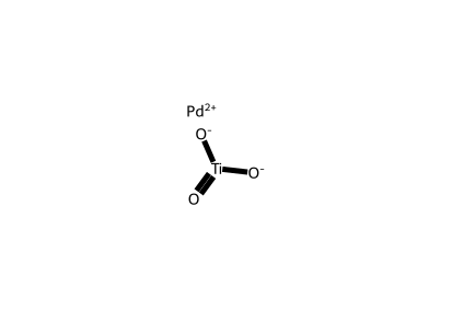 [O]=[Ti]([O-])[O-].[Pd+2]